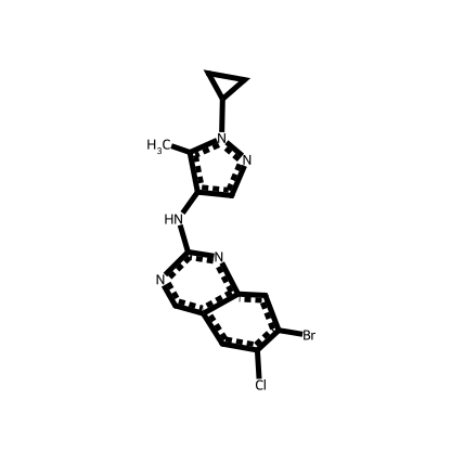 Cc1c(Nc2ncc3cc(Cl)c(Br)cc3n2)cnn1C1CC1